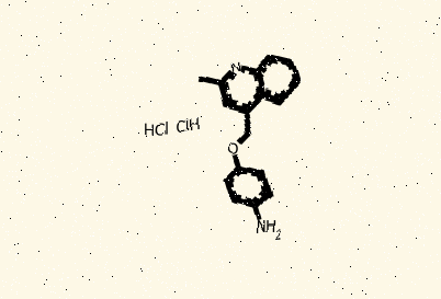 Cc1cc(COc2ccc(N)cc2)c2ccccc2n1.Cl.Cl